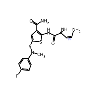 CN(Sc1cc(C(N)=O)c(NC(=O)C(=N)/C=C\N)s1)c1ccc(F)cc1